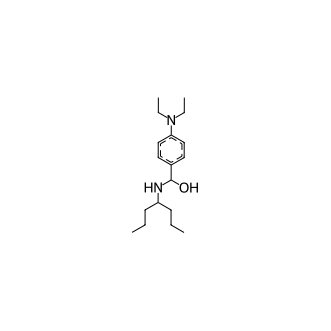 CCCC(CCC)NC(O)c1ccc(N(CC)CC)cc1